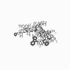 CC[C@H](C)[C@H](NC(=O)[C@@H](CCCNC(=N)N)NC(=O)[C@H](CC(C)C)NC(=O)[C@@H](NC(=O)[C@@H](NC(=O)OCC1c2ccccc2-c2ccccc21)[C@H](N)c1ccccc1)[C@H](O)C(C)C)C(=O)N[C@H](C(=O)NCC(=O)N[C@@H](CCNC(=O)OCc1ccccc1)C(=O)N[C@@H](CO)C(=O)O)[C@H](C)O